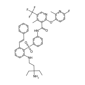 CCC(N)(CC)CCNc1cccc(C=Cc2ccccc2)c1S(=O)(=O)c1cccc(NC(=O)c2c(Oc3ccc(F)nc3C)ncc(C(F)(F)F)c2C)c1